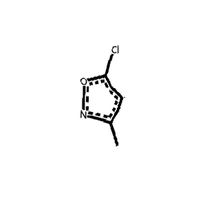 Cc1[c]c(Cl)on1